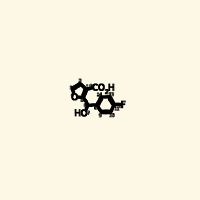 O=C(O)c1ccoc1C(O)c1ccc(F)cc1